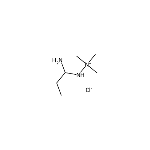 CCC(N)N[N+](C)(C)C.[Cl-]